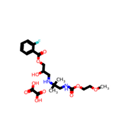 COCCOC(=O)NCC(C)(C)NCC(O)COC(=O)c1ccccc1F.O=C(O)C(=O)O